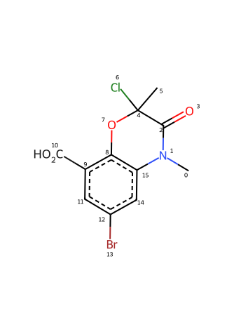 CN1C(=O)C(C)(Cl)Oc2c(C(=O)O)cc(Br)cc21